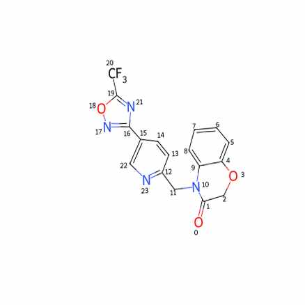 O=C1COc2ccccc2N1Cc1ccc(-c2noc(C(F)(F)F)n2)cn1